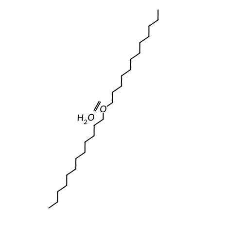 C=C.CCCCCCCCCCCCOCCCCCCCCCCCC.O